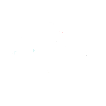 CCOc1ccc([S+]2CCCC2)c2ccccc12.FC(F)F